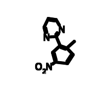 Cc1ccc([N+](=O)[O-])cc1-c1ncccn1